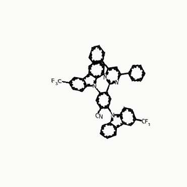 N#Cc1cc(-n2c3ccccc3c3cc(C(F)(F)F)ccc32)c(-c2nc(-c3ccccc3)cc(-c3ccccc3)n2)cc1-n1c2ccccc2c2cc(C(F)(F)F)ccc21